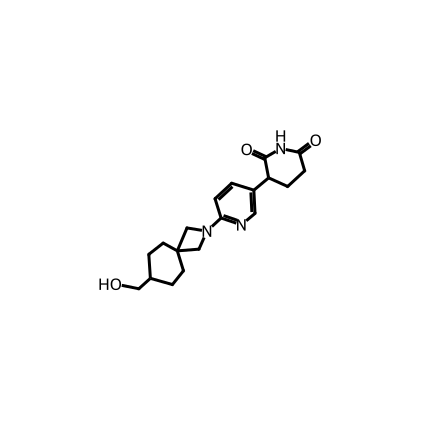 O=C1CCC(c2ccc(N3CC4(CCC(CO)CC4)C3)nc2)C(=O)N1